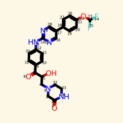 O=C1CN(CC(O)C(=O)c2ccc(Nc3ncc(-c4ccc(OC(F)F)cc4)cn3)cc2)CCN1